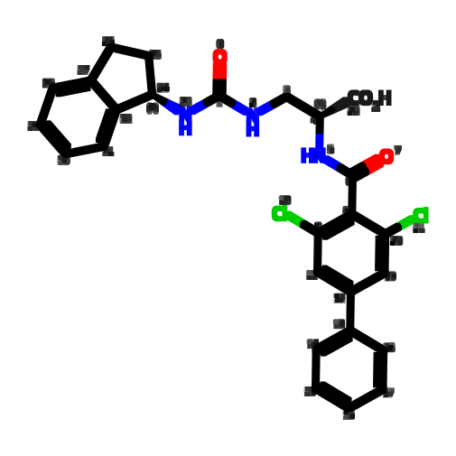 O=C(NC[C@H](NC(=O)c1c(Cl)cc(-c2ccccc2)cc1Cl)C(=O)O)N[C@@H]1CCc2ccccc21